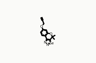 C#CCOc1ccc2c(c1)OC(C)(C)c1[se]nnc1-2